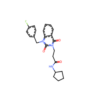 O=C(CCn1c(=O)c2ccccc2n(Cc2ccc(F)cc2)c1=O)NC1CCCC1